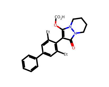 CCc1cc(-c2ccccc2)cc(CC)c1-c1c(OC(=O)O)n2n(c1=O)CCCC2